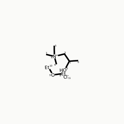 CC(O)C[N+](C)(C)C.CCOCC.[Cl-]